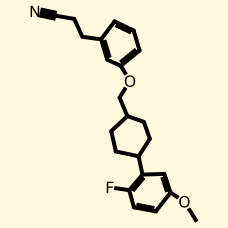 COc1ccc(F)c(C2CCC(COc3cccc(CCC#N)c3)CC2)c1